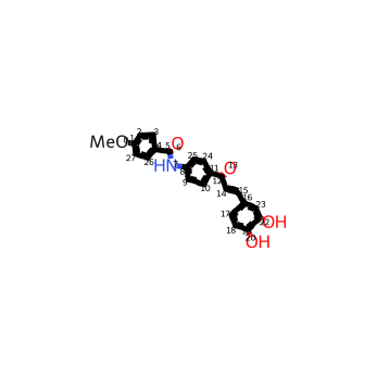 COc1ccc(C(=O)Nc2ccc(C(=O)C=Cc3ccc(O)c(O)c3)cc2)cc1